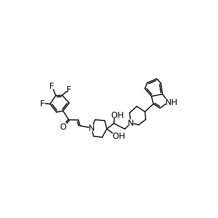 O=C(C=CN1CCC(O)(C(O)CN2CCC(c3c[nH]c4ccccc34)CC2)CC1)c1cc(F)c(F)c(F)c1